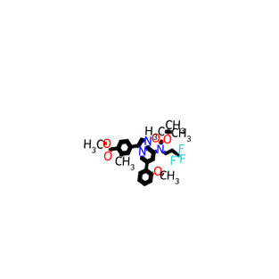 COC(=O)c1ccc(-c2cnc3c(N(CCC(F)(F)F)C(=O)OC(C)(C)C)cc(-c4ccccc4OC)cn23)cc1C